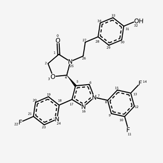 O=C1CO[C@H](c2cn(-c3cc(F)cc(F)c3)nc2-c2ccc(F)cn2)N1CCc1ccc(O)cc1